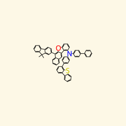 CC1(C)c2ccccc2-c2ccc(-c3c4ccccc4cc4c3oc3cccc(N(c5ccc(-c6ccccc6)cc5)c5ccc(-c6cccc7c6sc6ccccc67)cc5)c34)cc21